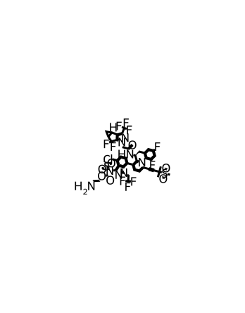 CC(C)(C#Cc1ccc(-c2ccc(Cl)c3c(N(C(=O)OCCN)S(C)(=O)=O)nn(CC(F)(F)F)c23)c([C@H](Cc2cc(F)cc(F)c2)NC(=O)Cn2nc(C(F)(F)F)c3c2C(F)(F)C2C[C@H]32)n1)S(C)(=O)=O